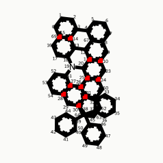 c1ccc(-c2cccc3cccc(-c4ccccc4N(c4ccccc4-c4cccc5c4-c4ccccc4C5(c4ccccc4)c4ccccc4)c4ccccc4-c4cccc5ccccc45)c23)cc1